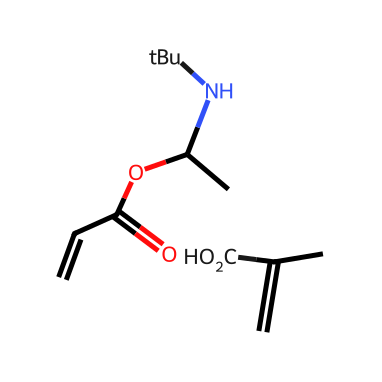 C=C(C)C(=O)O.C=CC(=O)OC(C)NC(C)(C)C